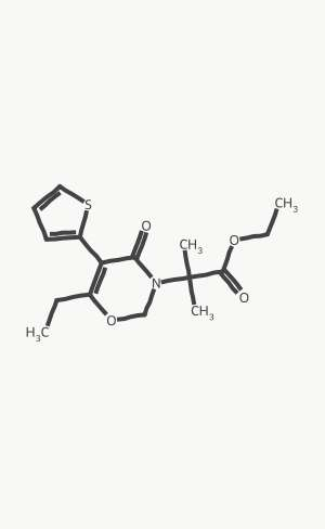 CCOC(=O)C(C)(C)N1COC(CC)=C(c2cccs2)C1=O